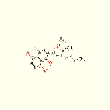 CCCCC(C[C@@H](O)C1=CC(=O)c2c(O)ccc(O)c2C1=O)=C(C)CC